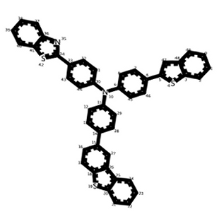 c1ccc2sc(-c3ccc(N(c4ccc(-c5ccc6sc7ccccc7c6c5)cc4)c4ccc(-c5nc6ccccc6s5)cc4)cc3)cc2c1